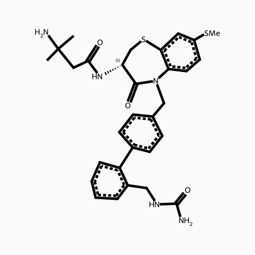 CSc1ccc2c(c1)SC[C@@H](NC(=O)CC(C)(C)N)C(=O)N2Cc1ccc(-c2ccccc2CNC(N)=O)cc1